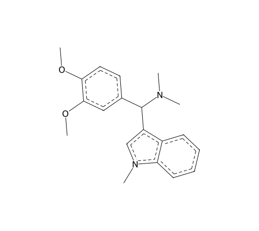 COc1ccc(C(c2cn(C)c3ccccc23)N(C)C)cc1OC